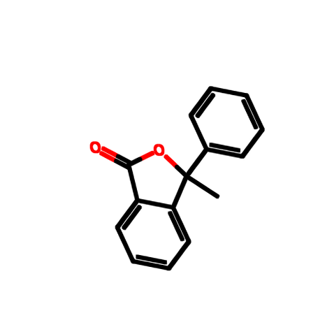 CC1(c2ccccc2)OC(=O)c2ccccc21